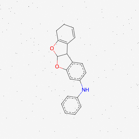 C1=CC2=C(CC1)OC1Oc3cc(Nc4ccccc4)ccc3C21